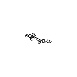 COc1ccc(S(=O)(=O)C(C)CCOCC(=O)N2CCN(C3CCN(C)CC3)CC2)c(Cl)c1